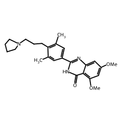 COc1cc(OC)c2c(=O)[nH]c(-c3cc(C)c(CCCN4CCCC4)c(C)c3)nc2c1